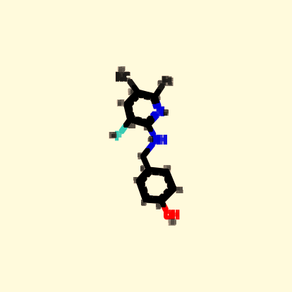 CCc1nc(NCc2ccc(O)cc2)c(F)cc1C#N